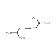 CCCCCCCCN(CC#CCN(CCCCCCCC)CCCCCCCC)CCCCCCCC